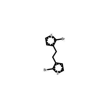 Brc1sccc1CCc1ccsc1Br